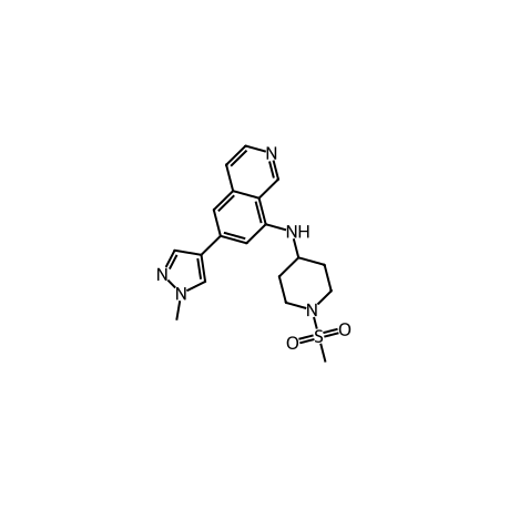 Cn1cc(-c2cc(NC3CCN(S(C)(=O)=O)CC3)c3cnccc3c2)cn1